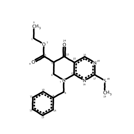 CCOC(=O)C1CN(Cc2ccccc2)c2nc(SC)ncc2C1=O